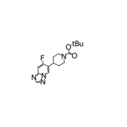 CC(C)(C)OC(=O)N1CCC(c2cn3ncnc3cc2F)CC1